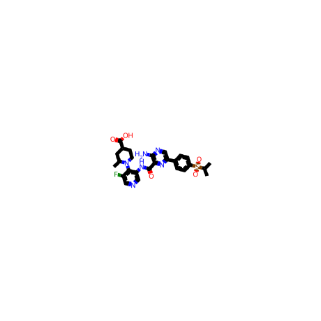 CC1CC(C(=O)O)CCN1c1c(F)cncc1NC(=O)c1nc(-c2ccc(S(=O)(=O)C(C)C)cc2)cnc1N